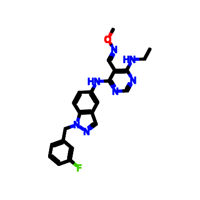 CCNc1ncnc(Nc2ccc3c(cnn3Cc3cccc(F)c3)c2)c1C=NOC